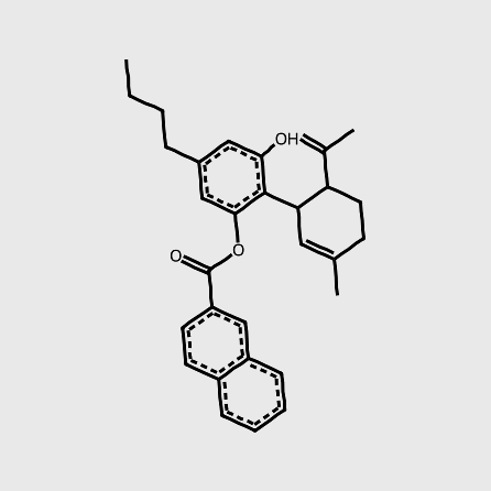 C=C(C)C1CCC(C)=CC1c1c(O)cc(CCCC)cc1OC(=O)c1ccc2ccccc2c1